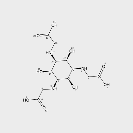 O=C(O)CN[C@H]1[C@@H](O)[C@@H](NCC(=O)O)[C@@H](O)[C@@H](NCC(=O)O)[C@H]1O